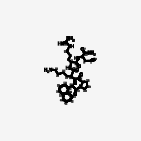 C#CCC(NC(=O)C(CCCNC(=N)N)NC(=O)C(CCCCN)NC(=O)C1CCCN1C(=O)Cc1cccc2ccccc12)C(N)=O